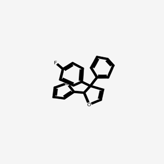 Fc1ccc(C2(c3ccccc3)C=COC2c2ccco2)cc1